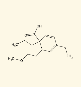 CCCC1(C(=O)O)C=CC(CC)=CC1CCOC